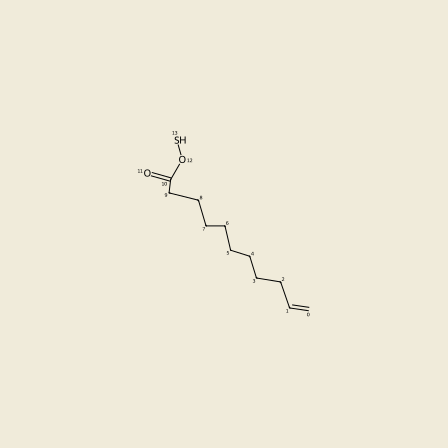 C=CCCCCCCCCC(=O)OS